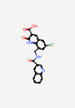 O=C(NCc1cc(Cl)cc2cc(C(=O)O)c(=O)[nH]c12)c1cnc2ccccc2c1